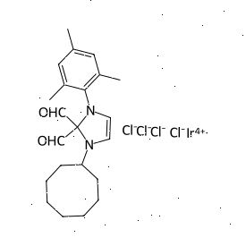 Cc1cc(C)c(N2C=CN(C3CCCCCCC3)C2(C=O)C=O)c(C)c1.[Cl-].[Cl-].[Cl-].[Cl-].[Ir+4]